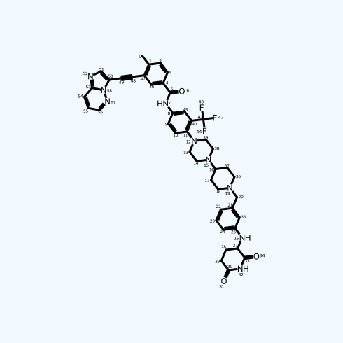 Cc1ccc(C(=O)Nc2ccc(N3CCN(C4CCN(Cc5cccc(NC6CCC(=O)NC6=O)c5)CC4)CC3)c(C(F)(F)F)c2)cc1C#Cc1cnc2cccnn12